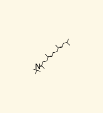 C/C(=C\CC(C)C)CC/C=C(\C)CC/C(C)=N/C(C)(C)C